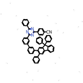 N#Cc1ccc(-c2nc(-c3ccccc3)nc(-c3cccc(-c4cccc(-c5cc6c(cc5-c5ccccc5)-c5ccccc5C6(c5ccccc5)c5ccccc5)c4)c3)n2)cc1